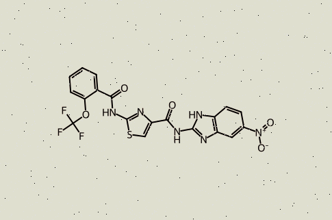 O=C(Nc1nc2cc([N+](=O)[O-])ccc2[nH]1)c1csc(NC(=O)c2ccccc2OC(F)(F)F)n1